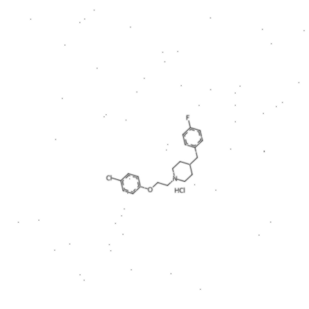 Cl.Fc1ccc(CC2CCN(CCOc3ccc(Cl)cc3)CC2)cc1